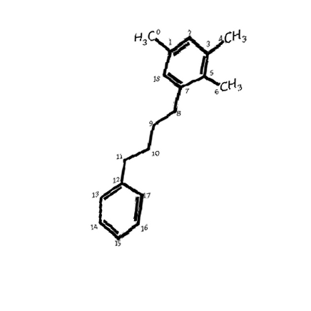 Cc1cc(C)c(C)c(C[CH]CCc2ccccc2)c1